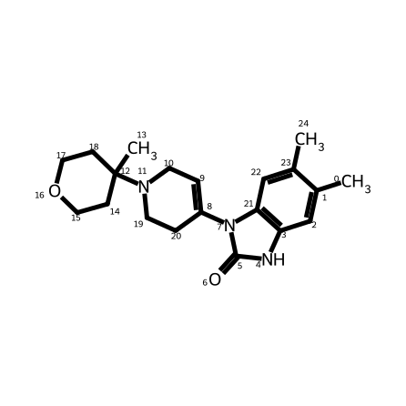 Cc1cc2[nH]c(=O)n(C3=CCN(C4(C)CCOCC4)CC3)c2cc1C